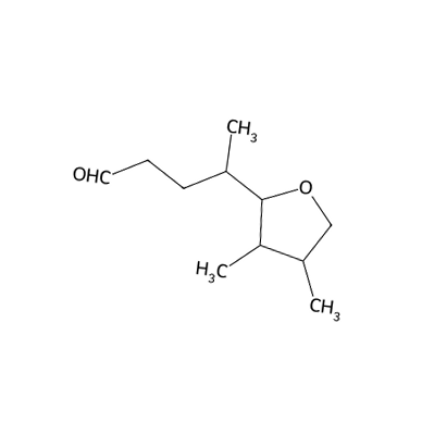 CC1COC(C(C)CCC=O)C1C